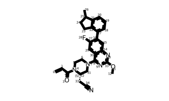 C=CC(=O)N1CCN(c2nc(OC)nc3cc(-c4cccc5c4CCC5C)c(F)cc23)C[C@@H]1CC#N